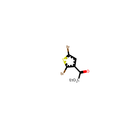 CCOC(=O)C(=O)c1cc(Br)sc1Br